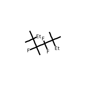 CCC(C)(C)C(C)(F)C(F)(F)C(C)(C)CC